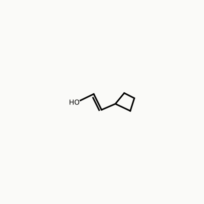 OC=CC1CCC1